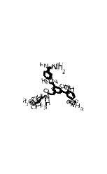 C[N+](C)(C)CCNC(=O)Cc1cc(-c2nc3cc(C(=N)N)ccc3[nH]2)c(O)c(-c2cc(S(N)(=O)=O)ccc2O)c1